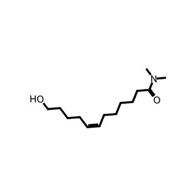 CN(C)C(=O)CCCCC/C=C\CCCCO